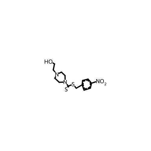 O=[N+]([O-])c1ccc(CSC(=S)N2CCN(CCO)CC2)cc1